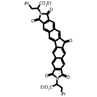 CCOC(=O)C(CC(C)C)n1c(=O)c2cc3cc4c(=O)c5cc6cc7c(=O)n(C(CC(C)C)C(=O)OCC)c(=O)c7cc6cc5c4cc3cc2c1=O